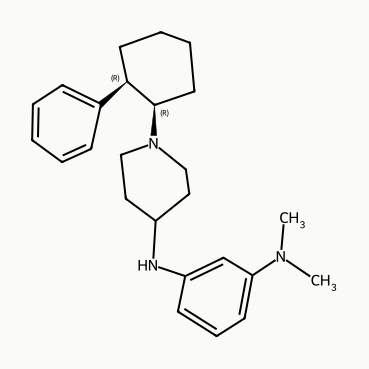 CN(C)c1cccc(NC2CCN([C@@H]3CCCC[C@@H]3c3ccccc3)CC2)c1